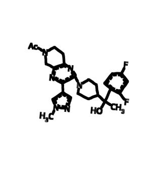 CC(=O)N1CCc2nc(N3CCC(C(C)(O)c4ccc(F)cc4F)CC3)c(-c3cnn(C)c3)nc2C1